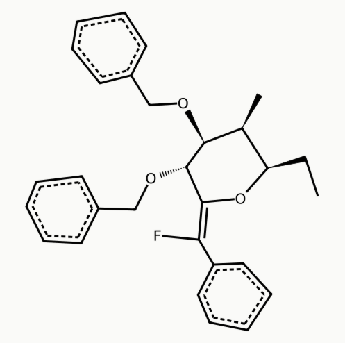 CC[C@H]1OC(=C(F)c2ccccc2)[C@H](OCc2ccccc2)[C@@H](OCc2ccccc2)[C@H]1C